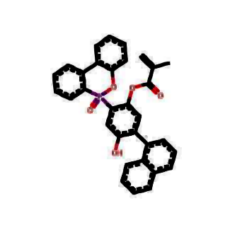 C=C(C)C(=O)Oc1cc(-c2cccc3ccccc23)c(O)cc1P1(=O)Oc2ccccc2-c2ccccc21